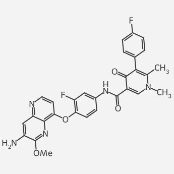 COc1nc2c(Oc3ccc(NC(=O)c4cn(C)c(C)c(-c5ccc(F)cc5)c4=O)cc3F)ccnc2cc1N